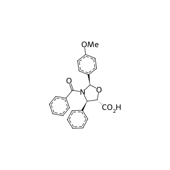 COc1ccc([C@H]2O[C@H](C(=O)O)[C@@H](c3ccccc3)N2C(=O)c2ccccc2)cc1